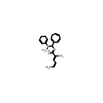 C\C=C/C=C(C)/C(C)=N/C(C1=CCC=CC=C1)N(C)C1=CCCC=C1